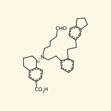 O=CCCCCN(CCc1ccccc1CCc1ccc2c(c1)CCC2)[C@H]1CCCc2cc(C(=O)O)ccc21